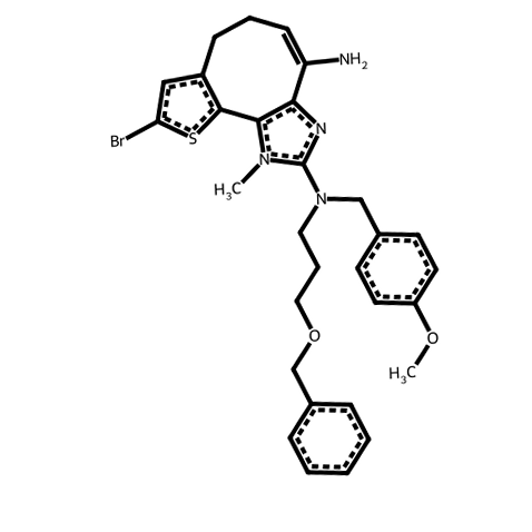 COc1ccc(CN(CCCOCc2ccccc2)c2nc3c(n2C)-c2sc(Br)cc2CC/C=C\3N)cc1